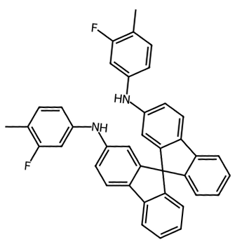 Cc1ccc(Nc2ccc3c(c2)C2(c4ccccc4-3)c3ccccc3-c3ccc(Nc4ccc(C)c(F)c4)cc32)cc1F